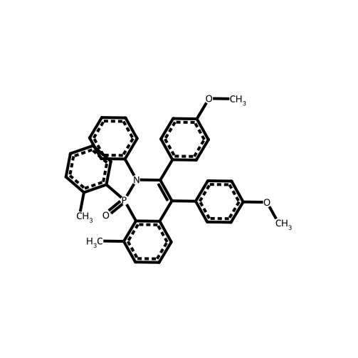 COc1ccc(C2=C(c3ccc(OC)cc3)N(c3ccccc3)P(=O)(c3ccccc3C)c3c(C)cccc32)cc1